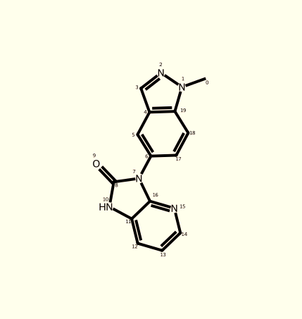 Cn1ncc2cc(-n3c(=O)[nH]c4cccnc43)ccc21